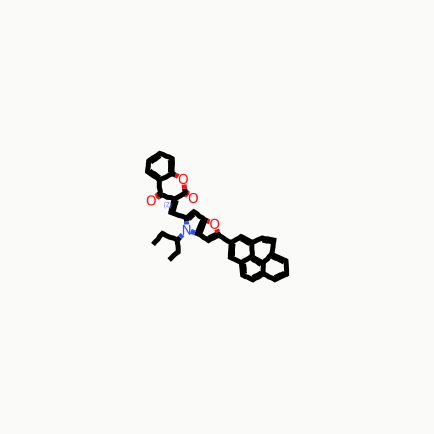 CCC(CC)n1c(/C=C2\C(=O)Oc3ccccc3C2=O)cc2oc(-c3cc4ccc5cccc6ccc(c3)c4c56)cc21